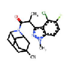 CC(C(=O)N1C2CC3CC1CC(C#N)(C3)C2)c1nn(C)c2ccc(F)c(Cl)c12